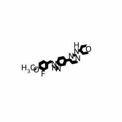 COc1ccc(Cn2nnc3cc(-c4ccnc(NC5CCOCC5)n4)ccc32)cc1F